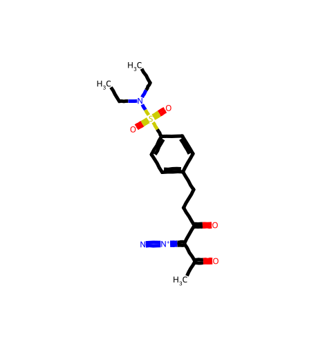 CCN(CC)S(=O)(=O)c1ccc(CCC(=O)C(=[N+]=[N-])C(C)=O)cc1